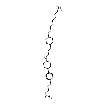 CCCCCCCCCC1CCC(CCCOC2CCC(c3ccc(CCCCC)cc3)CC2)CC1